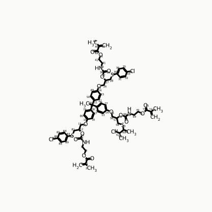 C=C(C)C(=O)OCCNC(=O)OC(COc1ccc(C(C)(c2ccc(OCC(CSc3ccc(Cl)cc3)OC(=O)NCCOC(=O)C(=C)C)cc2)c2ccc(OCC(CSC(C)[C@@H](C)Cl)OC(=O)NCCOC(=O)C(=C)C)cc2)cc1)CSc1ccc(Cl)cc1